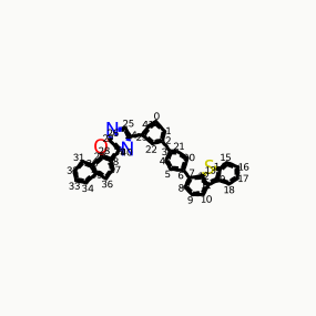 c1cc(-c2ccc(-c3cccc4c3sc3ccccc34)cc2)cc(-c2cnc3oc4c5ccccc5ccc4c3n2)c1